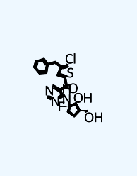 O=C(c1cc(Cc2ccccc2)c(Cl)s1)c1cncnc1N[C@]1(F)CC[C@H](CO)[C@H]1O